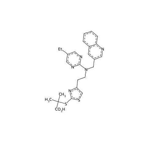 CCc1cnc(N(CCc2csc(SC(C)(C)C(=O)O)n2)Cc2cnc3ccccc3c2)nc1